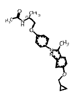 CC(=O)N[C@@H](C)COc1ccc(-n2nc3cc(OCC4CC4)ccc3c2C)cc1